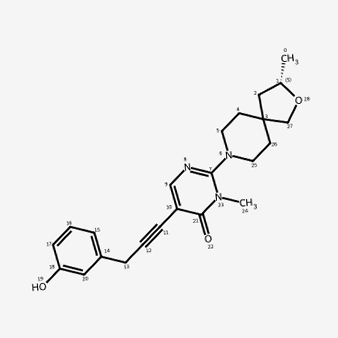 C[C@H]1CC2(CCN(c3ncc(C#CCc4cccc(O)c4)c(=O)n3C)CC2)CO1